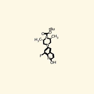 C[C@H]1CN(c2cc(F)c3nc(O)ccc3c2)C[C@H](C)N1C(=O)OC(C)(C)C